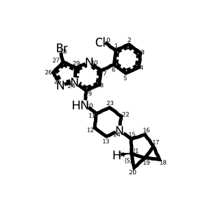 Clc1ccccc1-c1cc(NC2CCN(C3CC4CC45C[C@H]35)CC2)n2ncc(Br)c2n1